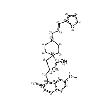 COc1ccc2ccc(=O)n(CCCC3(C(=O)O)CCN(C/C=C/c4ccco4)CC3)c2c1